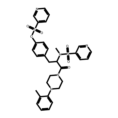 Cc1ccccc1N1CCN(C(=O)C(Cc2ccc(OS(=O)(=O)c3cccnc3)cc2)N(C)S(=O)(=O)c2cccnc2)CC1